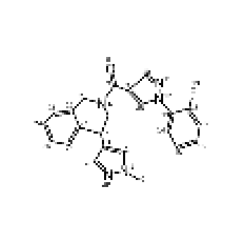 Cn1cc(C2CN(C(=O)c3cnn(-c4ccccc4F)c3)Cc3ccccc32)cn1